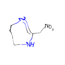 O=[N+]([O-])C1=NCCN1